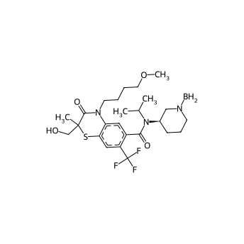 BN1CCC[C@@H](N(C(=O)c2cc3c(cc2C(F)(F)F)SC(C)(CO)C(=O)N3CCCCOC)C(C)C)C1